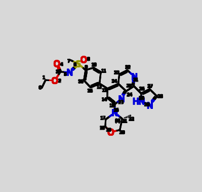 CCOC(=O)N=S(C)(=O)c1ccc(-c2cc(N3CCOC[C@H]3C)nc3c(-c4ccn[nH]4)nccc23)cc1